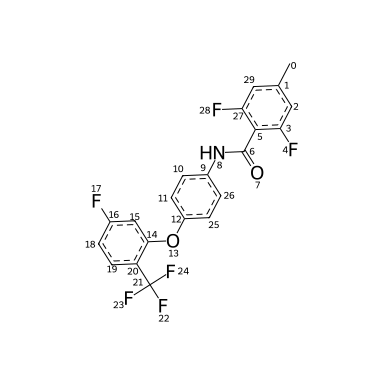 Cc1cc(F)c(C(=O)Nc2ccc(Oc3cc(F)ccc3C(F)(F)F)cc2)c(F)c1